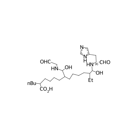 CCCCC(CCCCC(CCCCC(CC)C(O)N[C@@H](C=O)Cc1cnc[nH]1)C(O)NCC=O)C(=O)O